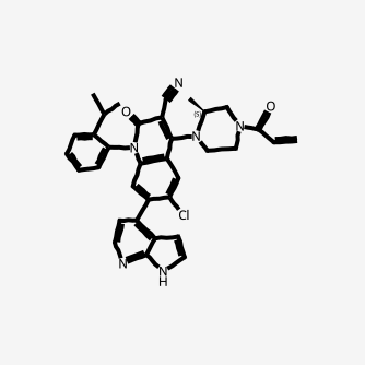 C=CC(=O)N1CCN(c2c(C#N)c(=O)n(-c3ccccc3C(C)C)c3cc(-c4ccnc5[nH]ccc45)c(Cl)cc23)[C@@H](C)C1